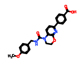 COc1ccc(CNC(=O)N2CCOc3nc(-c4ccc(C(=O)O)cc4)ccc32)cc1